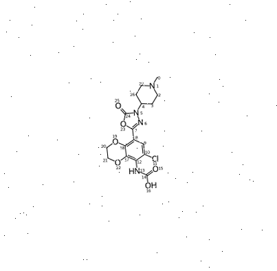 CN1CCC(n2nc(-c3cc(Cl)c(NC(=O)O)c4c3OCCO4)oc2=O)CC1